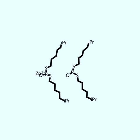 CC(C)CCCCCSP([O-])SCCCCCC(C)C.CC(C)CCCCCSP([O-])SCCCCCC(C)C.[Zn+2]